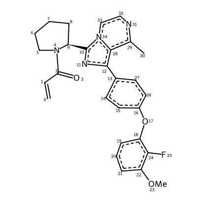 C=CC(=O)N1CCCC[C@H]1c1nc(-c2ccc(Oc3cccc(OC)c3F)cc2)c2c(C)nccn12